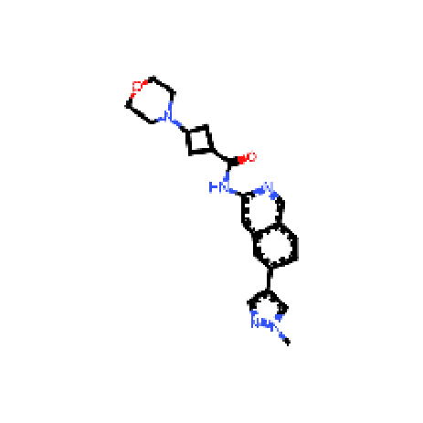 Cn1cc(-c2ccc3cnc(NC(=O)C4CC(N5CCOCC5)C4)cc3c2)cn1